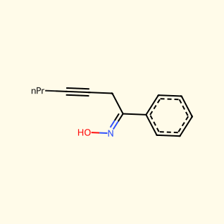 CCCC#CCC(=NO)c1ccccc1